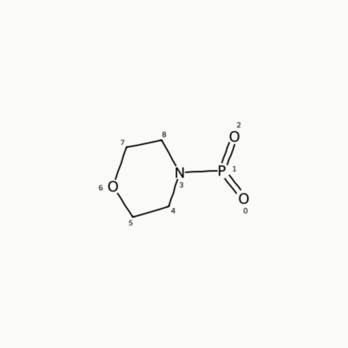 O=P(=O)N1CCOCC1